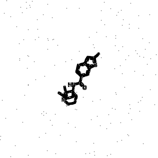 Cc1cc2ccc(C(=O)NC3C4CCN(CC4)C3(C)C)cc2s1